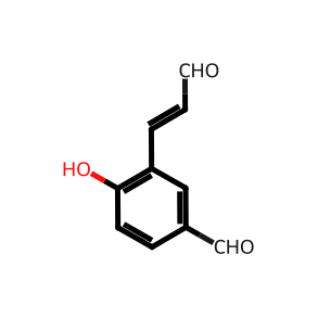 O=CC=Cc1cc(C=O)ccc1O